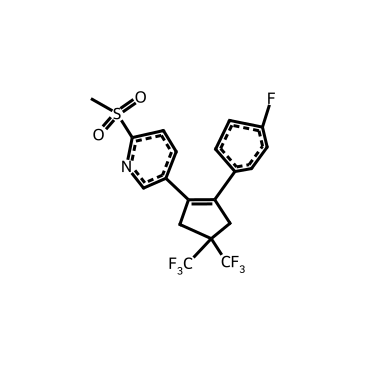 CS(=O)(=O)c1ccc(C2=C(c3ccc(F)cc3)CC(C(F)(F)F)(C(F)(F)F)C2)cn1